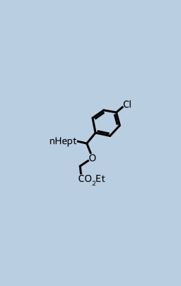 CCCCCCCC(OCC(=O)OCC)c1ccc(Cl)cc1